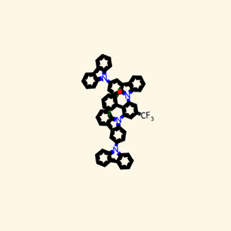 Fc1cccc(F)c1-c1c(-n2c3ccccc3c3cc(-n4c5ccccc5c5ccccc54)ccc32)cc(C(F)(F)F)cc1-n1c2ccccc2c2cc(-n3c4ccccc4c4ccccc43)ccc21